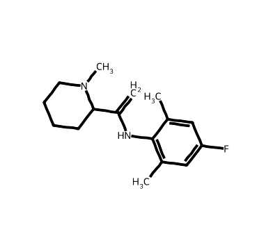 C=C(Nc1c(C)cc(F)cc1C)C1CCCCN1C